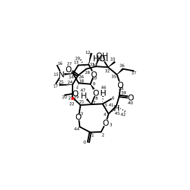 C=C1CO[C@H]2[C@H](C)[C@@H](O[C@@H]3O[C@H](C)C[C@H](N(C)C)[C@H]3OC)[C@](C)(C[C@@H](C)C(=O)[C@H](C)[C@@H](O)[C@](C)(O)[C@@H](CC)OC(=O)[C@@H]2C)OC1